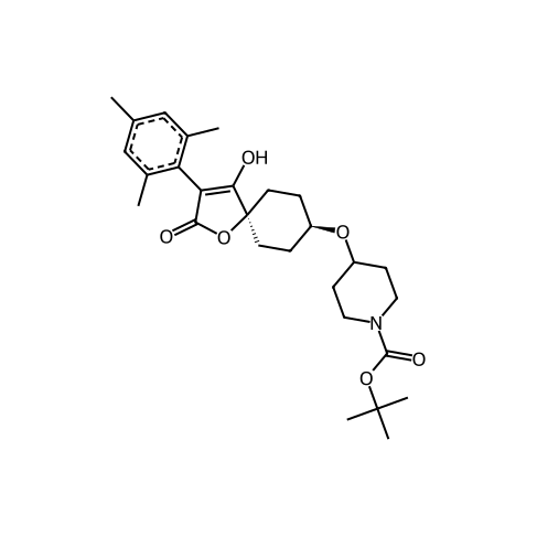 Cc1cc(C)c(C2=C(O)[C@]3(CC[C@H](OC4CCN(C(=O)OC(C)(C)C)CC4)CC3)OC2=O)c(C)c1